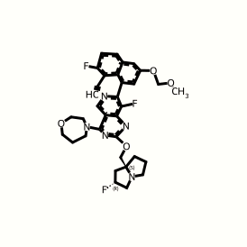 C#Cc1c(F)ccc2cc(OCOC)cc(-c3ncc4c(N5CCCOCC5)nc(OC[C@@]56CCCN5C[C@H](F)C6)nc4c3F)c12